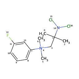 CC(C)(C[N+](C)(C)c1cccc(F)c1)N(Cl)Cl